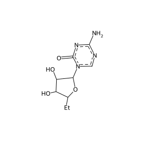 CCC1OC(n2cnc(N)nc2=O)C(O)C1O